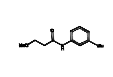 COCCC(=O)Nc1cccc(C(C)(C)C)c1